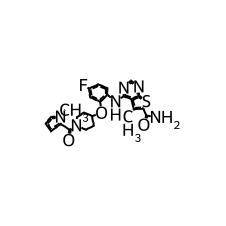 Cc1c(C(N)=O)sc2ncnc(Nc3ccc(F)cc3OC3CCN(C(=O)c4cccn4C)CC3)c12